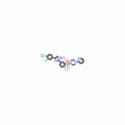 O=S(=O)(c1cc(-c2nc(-c3ccc(Br)c(F)c3)c[nH]2)ccc1Cl)N1CCN(c2ccccn2)CC1